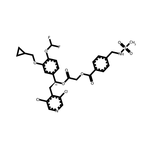 CS(=O)(=O)NCc1ccc(C(=O)OCC(=O)O[C@@H](Cc2c(Cl)cncc2Cl)c2ccc(OC(F)F)c(OCC3CC3)c2)cc1